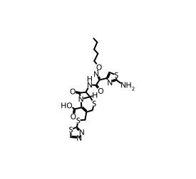 CCCCCON=C(C(=O)NC1C(=O)N2C(C(=O)O)=C(CSc3nncs3)CS[C@@H]12)c1csc(N)n1